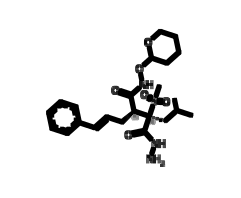 CC(C)C[C@](C(=O)NN)([C@@H](CC=Cc1ccccc1)C(=O)NOC1CCCCO1)S(C)(=O)=O